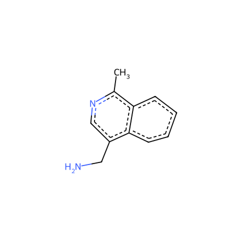 Cc1ncc(CN)c2ccccc12